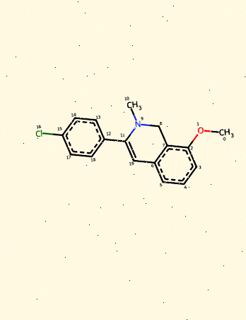 COc1cccc2c1CN(C)C(c1ccc(Cl)cc1)=C2